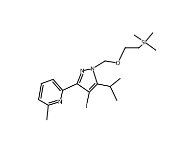 Cc1cccc(-c2nn(COCC[Si](C)(C)C)c(C(C)C)c2I)n1